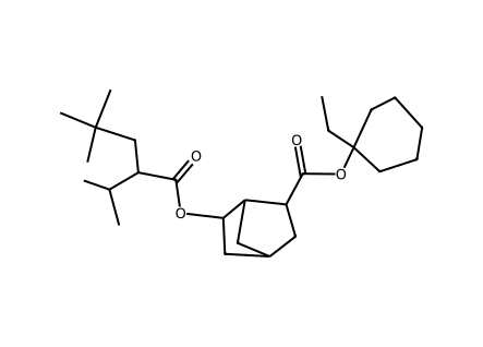 CCC1(OC(=O)C2CC3CC(OC(=O)C(CC(C)(C)C)C(C)C)C2C3)CCCCC1